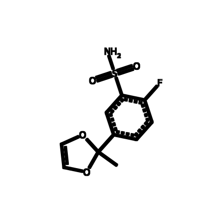 CC1(c2ccc(F)c(S(N)(=O)=O)c2)OC=CO1